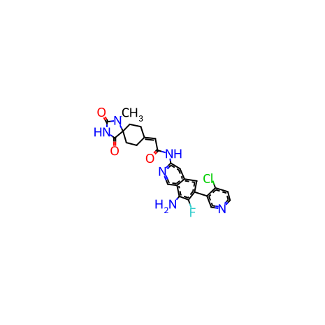 CN1C(=O)NC(=O)C12CCC(=CC(=O)Nc1cc3cc(-c4cnccc4Cl)c(F)c(N)c3cn1)CC2